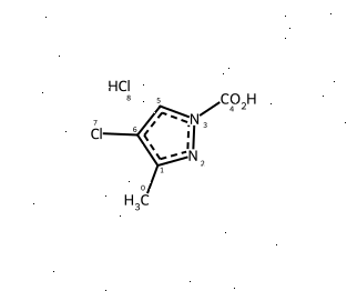 Cc1nn(C(=O)O)cc1Cl.Cl